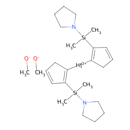 C[O-].C[O-].C[Si](C)(C1=[C]([Hf+2][C]2=C([Si](C)(C)N3CCCC3)C=CC2)CC=C1)N1CCCC1